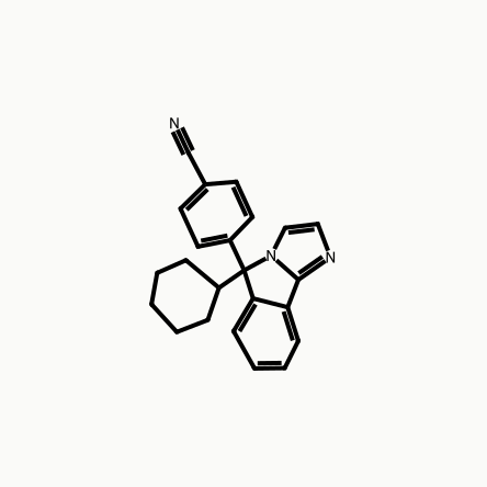 N#Cc1ccc(C2(C3CCCCC3)c3ccccc3-c3nccn32)cc1